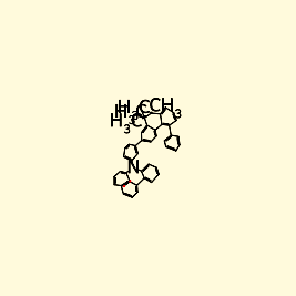 CC1(C)c2cc(-c3cccc(N(c4ccccc4)c4ccccc4-c4ccccc4)c3)ccc2-c2c(-c3ccccc3)cccc2C1(C)C